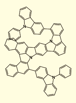 c1ccc(-n2c3ccccc3c3cc(-c4cccc5c6cccc7c8cc9c(cc8n(c45)c76)c4cc5ccccc5c5c6c7ccccc7cc(-c7ccc8c(c7)c7ccccc7n8-c7ccccc7)c6n9c45)ccc32)cc1